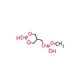 COP(O)OCC1COP(O)OC1